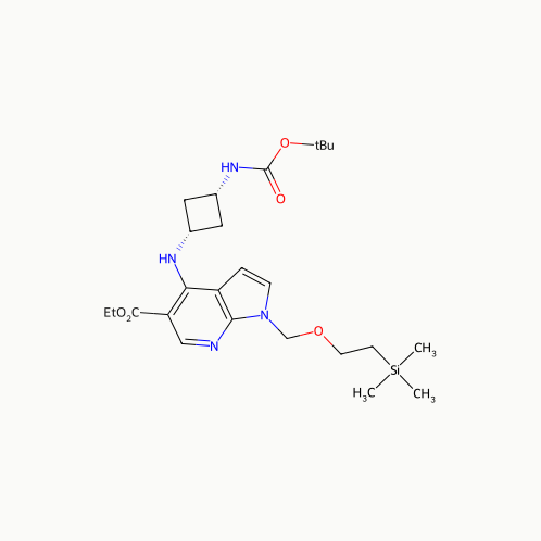 CCOC(=O)c1cnc2c(ccn2COCC[Si](C)(C)C)c1N[C@H]1C[C@@H](NC(=O)OC(C)(C)C)C1